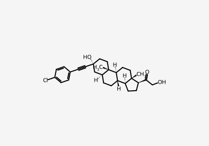 C[C@]12CC[C@](O)(C#Cc3ccc(Cl)cc3)C[C@@H]1CC[C@@H]1[C@@H]2CC[C@]2(C)[C@@H](C(=O)CO)CC[C@@H]12